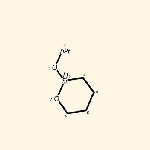 CCCO[SiH]1CCCCO1